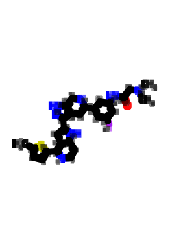 Cc1ccc(-c2nccc3[nH]c(-c4n[nH]c5cnc(-c6cc(I)cc(NC(=O)CN(C)C)c6)cc45)cc23)s1